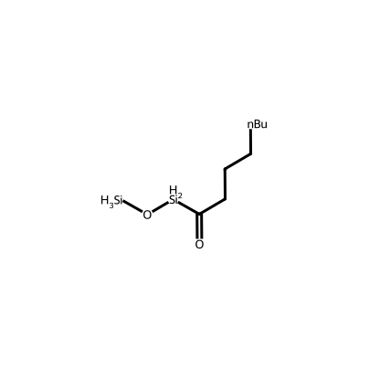 CCCCCCCC(=O)[SiH2]O[SiH3]